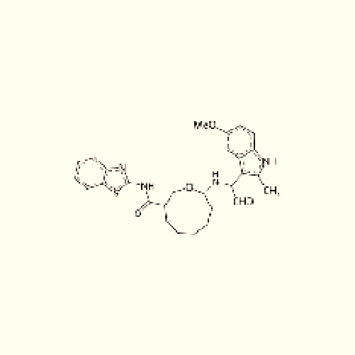 COc1ccc2[nH]c(C)c(C(C=O)N[C@@H]3CCCCCC(C(=O)Nc4nc5ccccc5s4)CO3)c2c1